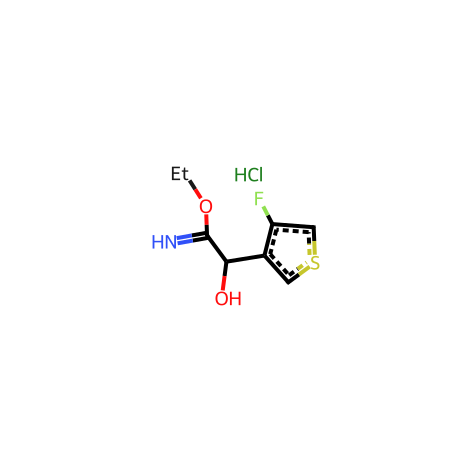 CCOC(=N)C(O)c1cscc1F.Cl